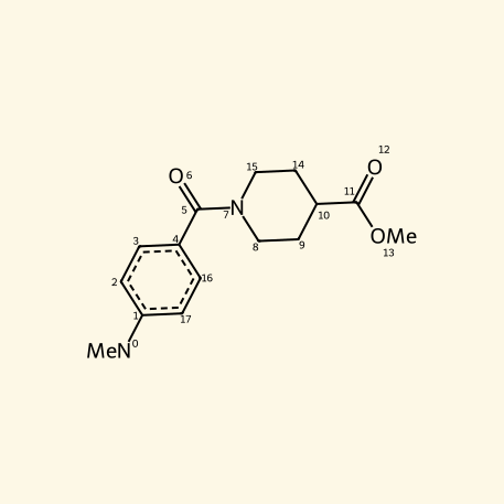 CNc1ccc(C(=O)N2CCC(C(=O)OC)CC2)cc1